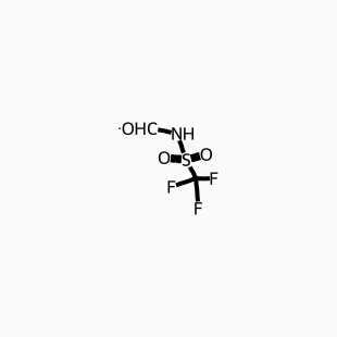 O=[C]NS(=O)(=O)C(F)(F)F